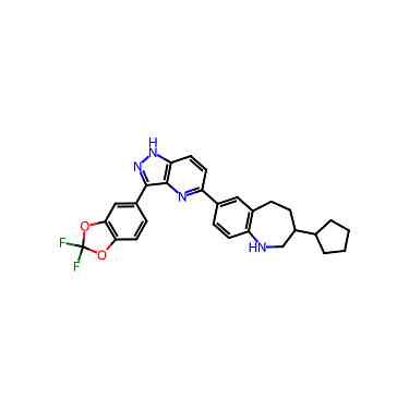 FC1(F)Oc2ccc(-c3n[nH]c4ccc(-c5ccc6c(c5)CCC(C5CCCC5)CN6)nc34)cc2O1